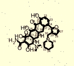 CN(C)[C@@H]1C(O)=C(C(N)=O)C2(O)O[C@@]23C(O)=C2C(=O)c4c(O)ccc(-c5occc5CN5CCCCC5)c4C[C@H]2C[C@@H]13